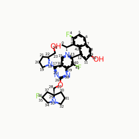 CCc1c(F)ccc2cc(O)cc(-c3ncc4c(N5CCCC5CO)nc(OC[C@@]56CCCN5C[C@H](F)C6)nc4c3F)c12